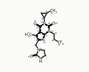 Cc1c(CN2CCNC2=O)sc2c1c(=O)n(C1CC1C)c(=O)n2CCC(F)(F)F